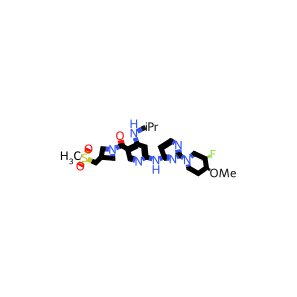 CO[C@H]1CCN(c2nccc(Nc3cc(NC(C)C)c(C(=O)N4CC(CS(C)(=O)=O)C4)cn3)n2)C[C@H]1F